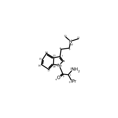 CC(C)C(N)C(=O)n1cc(CCN(C)C)c2ccccc21